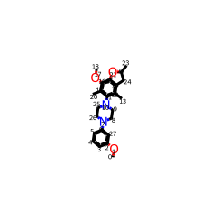 COc1cccc(N2CCN(c3c(C)c4c(c(OC)c3C)OC(C)C4)CC2)c1